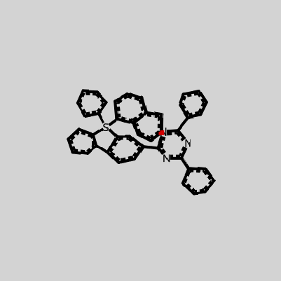 c1ccc(-c2nc(-c3ccccc3)nc(-c3ccc4c(c3)S(c3ccccc3)(c3cccc5ccccc35)c3ccccc3-4)n2)cc1